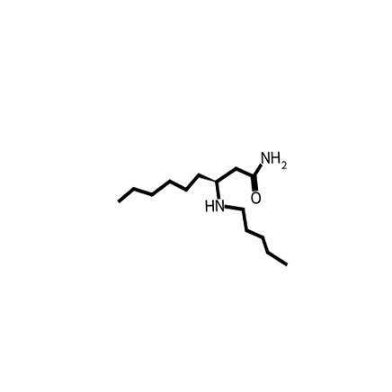 CCCCCC[C@@H](CC(N)=O)NCCCCC